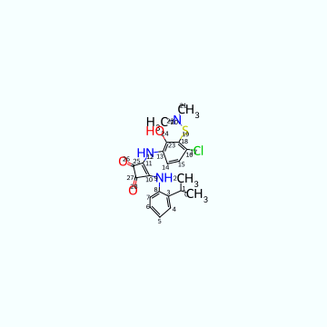 CC(C)c1ccccc1Nc1c(Nc2ccc(Cl)c(SN(C)C)c2O)c(=O)c1=O